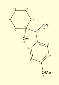 CCCC(c1ccc(OC)cc1)C1(O)CCCCC1